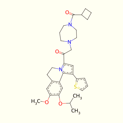 COc1cc2c(cc1OC(C)C)-c1c(-c3cccs3)cc(C(=O)CN3CCCN(C(=O)C4CCC4)CC3)n1CC2